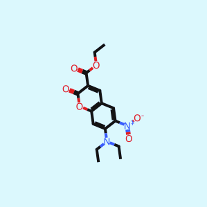 CCOC(=O)c1cc2cc([N+](=O)[O-])c(N(CC)CC)cc2oc1=O